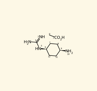 CC(=O)O.N=C(N)N[C@H]1CC[C@@H](N)CC1